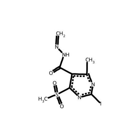 C=NNC(=O)c1c(C)nc(I)nc1S(C)(=O)=O